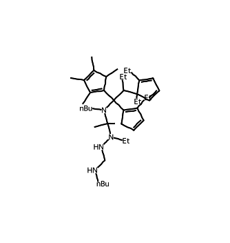 CCCCNCNN(CC)C(C)(C)N(CCCC)C(C1=C(CC)C=CC1)(C1=C(C)C(C)=C(C)C1C)C(CC)C1(CC)C=CC=C1CC